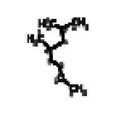 COCCC(C)CC(C)C